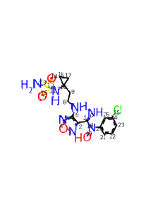 N=C(c1nonc1NCCC1(NS(N)(=O)=O)CC1)N(O)c1cccc(Cl)c1